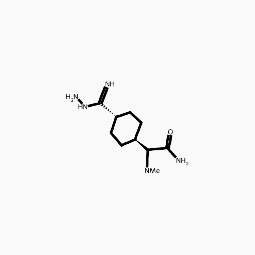 CNC(C(N)=O)[C@H]1CC[C@H](C(=N)NN)CC1